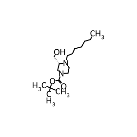 CCCCCCCN1CCN(C(=O)OC(C)(C)C)C[C@@H]1CO